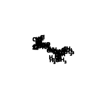 CC(C)(C)OC(=O)N=C(NC(=O)OC(C)(C)C)N1CCC(CNC(=O)CNC(=O)c2ccc(S(=O)(=O)N(Oc3ccc(Cl)cc3Cl)c3ccccc3)cc2)CC1